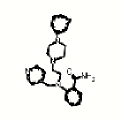 NC(=O)c1ccccc1N(CCN1CCN(c2ccccc2)CC1)Cc1ccncc1